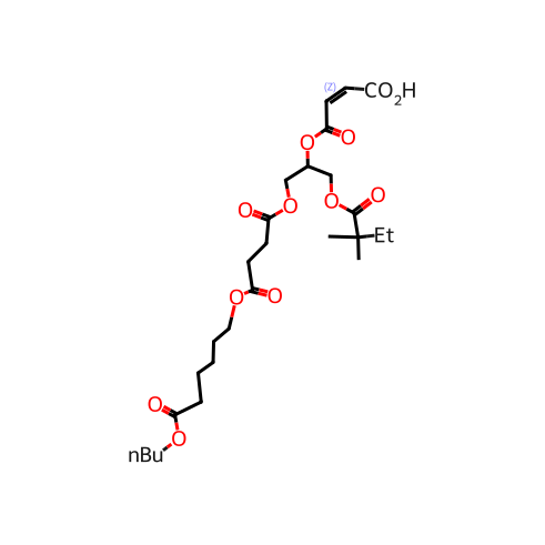 CCCCOC(=O)CCCCCOC(=O)CCC(=O)OCC(COC(=O)C(C)(C)CC)OC(=O)/C=C\C(=O)O